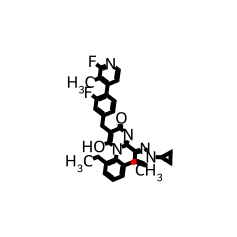 CCc1cccc(CC)c1-n1c(-c2ccn(C3CC3)n2)nc(=O)c(Cc2ccc(-c3ccnc(F)c3C)c(F)c2)c1O